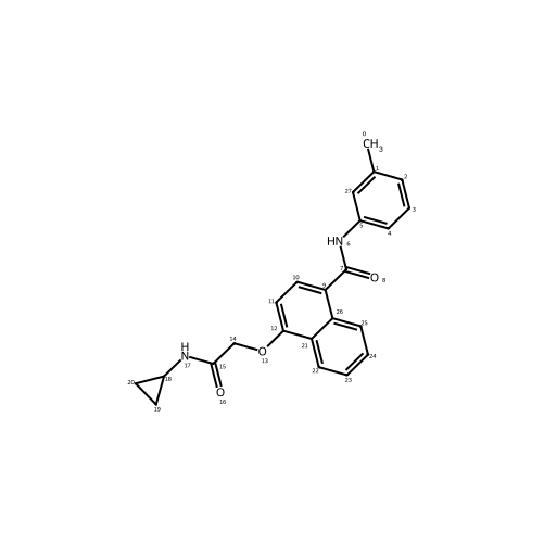 Cc1cccc(NC(=O)c2ccc(OCC(=O)NC3CC3)c3ccccc23)c1